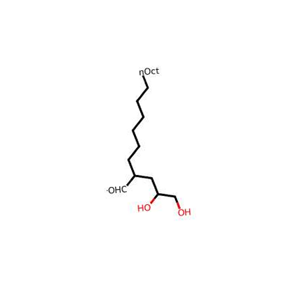 CCCCCCCCCCCCCCC([C]=O)CC(O)CO